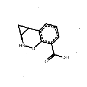 O=C(O)c1cccc2c1OBC1CC21